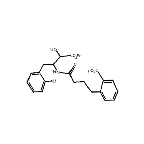 CCOC(=O)C(O)C(Cc1ccccc1Cl)NC(=O)CCCc1ccccc1C(=O)O